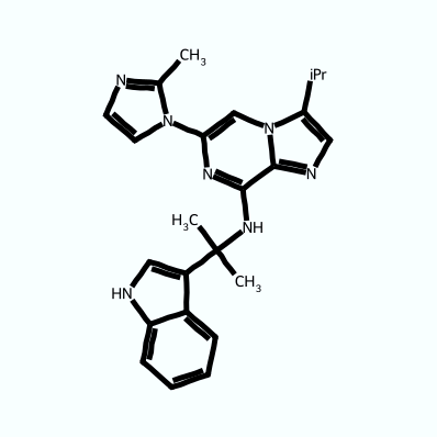 Cc1nccn1-c1cn2c(C(C)C)cnc2c(NC(C)(C)c2c[nH]c3ccccc23)n1